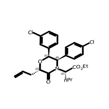 C=CC[C@@H]1O[C@@H](c2cccc(Cl)c2)[C@@H](c2ccc(Cl)cc2)N([C@@H](CCC)C(=O)OCC)C1=O